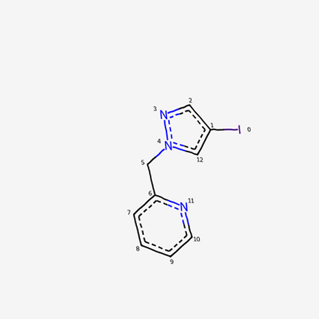 Ic1cnn(Cc2ccccn2)c1